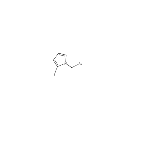 CC(=O)Cn1cccc1I